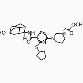 COC(=O)C[C@@H]1CCCN(c2ccc(C(=O)N[C@H]3C4CC5CC3C[C@](O)(C5)C4)c(SC3CCCC3)n2)C1